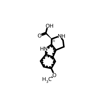 COc1ccc2[nH]c3c(c2c1)CCN[C@@H]3C(=O)O